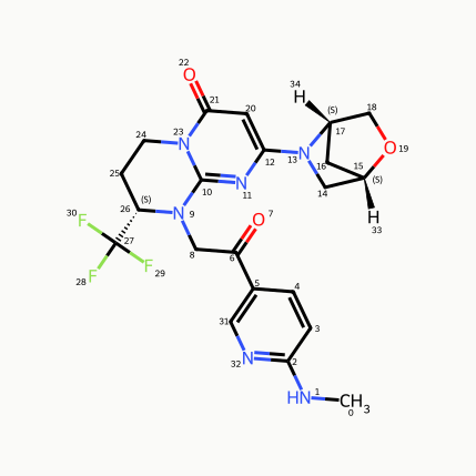 CNc1ccc(C(=O)CN2c3nc(N4C[C@@H]5C[C@H]4CO5)cc(=O)n3CC[C@H]2C(F)(F)F)cn1